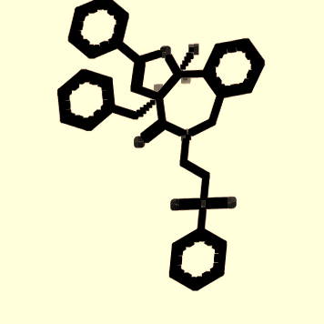 O=C1N(CCS(=O)(=O)c2ccccc2)Cc2ccccc2[C@@H]2OC(c3ccccc3)=C[C@]12Cc1ccccc1